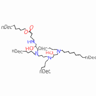 CCCCCCCCCCCCCCCCCCN(CCCC=O)CC(O)CN(CCCCCCCCCCCCCC)CCCCN(CCCCCCCCCCCCCC)CC(O)CNCCCC(=O)OCCCCCCCCCCCCCCC